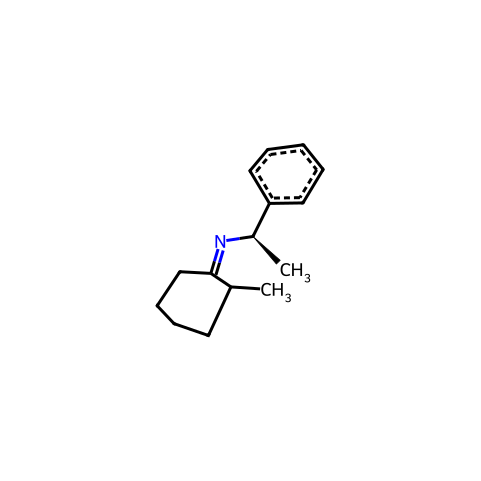 CC1CCCC/C1=N/[C@H](C)c1ccccc1